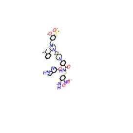 CNc1ccc(SNC(=O)c2ccc(N3CCC4(CC3)CC(N3CCN(Cc5ccc([S+](C)[O-])c(OC)c5)CC3c3ccccc3C(C)C)C4)cc2Oc2cnc3[nH]ccc3c2)cc1[N+](=O)[O-]